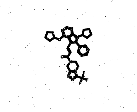 O=C(/C=C/c1c(-c2ccccc2)n(C2CCCC2)c2ncnc(OC3CCCC3)c12)N1CCn2c(nnc2C(F)(F)F)C1